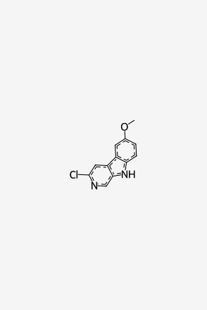 COc1ccc2[nH]c3cnc(Cl)cc3c2c1